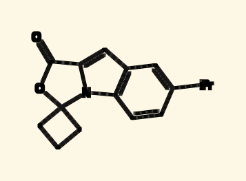 CC(C)c1ccc2c(c1)cc1n2C2(CCC2)OC1=O